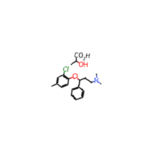 CC(O)C(=O)O.Cc1ccc(OC(CCN(C)C)c2ccccc2)c(Cl)c1